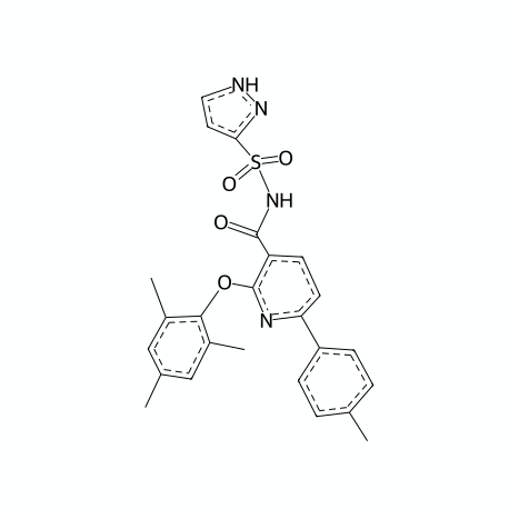 Cc1ccc(-c2ccc(C(=O)NS(=O)(=O)c3cc[nH]n3)c(Oc3c(C)cc(C)cc3C)n2)cc1